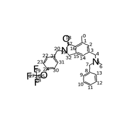 Cc1cc(CN(C)Cc2ccccc2)cc2c1C(=O)N(Cc1ccc(OC(F)(F)F)cc1)C2